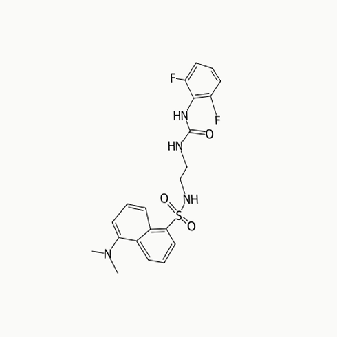 CN(C)c1cccc2c(S(=O)(=O)NCCNC(=O)Nc3c(F)cccc3F)cccc12